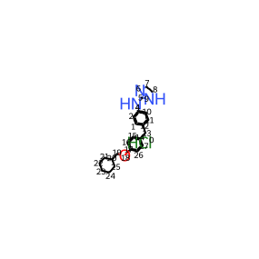 Cl.c1cc(NC2=NCCN2)ccc1Cc1ccc(OCC2CCCCC2)cc1